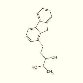 CC(O)C(O)CCc1cccc2c1Cc1ccccc1-2